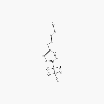 [O]CCCCc1ccc(C(Cl)(Cl)C(Cl)(Cl)Cl)cc1